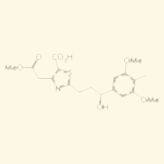 COC(=O)Cc1nc(CC[C@H](O)c2cc(OC)c(C)c(OC)c2)sc1C(=O)O